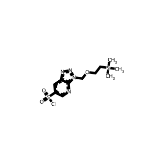 C[Si](C)(C)CCOCn1nnc2cc(S(=O)(=O)Cl)cnc21